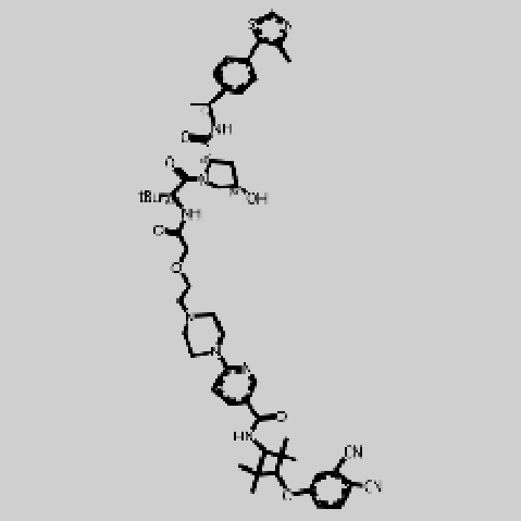 Cc1ncsc1-c1ccc([C@H](C)NC(=O)[C@@H]2C[C@@H](O)CN2C(=O)[C@@H](NC(=O)COCCN2CCN(c3ccc(C(=O)NC4C(C)(C)C(Oc5ccc(C#N)c(C#N)c5)C4(C)C)cn3)CC2)C(C)(C)C)cc1